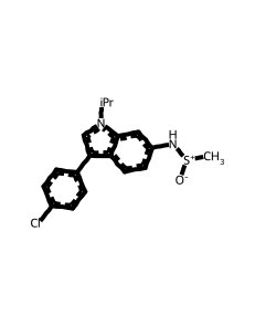 CC(C)n1cc(-c2ccc(Cl)cc2)c2ccc(N[S+](C)[O-])cc21